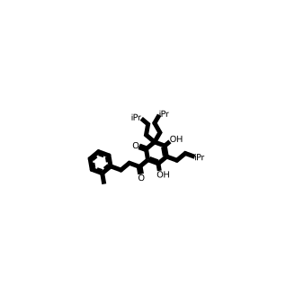 Cc1ccccc1CCC(=O)C1=C(O)C(CCC(C)C)=C(O)C(CCC(C)C)(CCC(C)C)C1=O